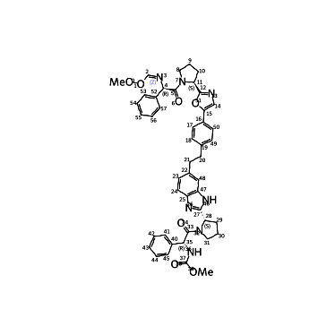 COO/C=N\[C@@H](C(=O)N1CCC[C@H]1c1ncc(-c2ccc(CCc3ccc4nc([C@@H]5CCCN5C(=O)[C@H](NC(=O)OC)c5ccccc5)[nH]c4c3)cc2)o1)c1ccccc1